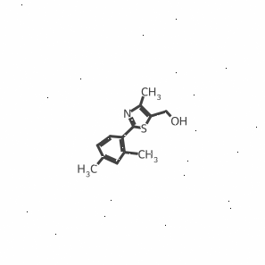 Cc1ccc(-c2nc(C)c(CO)s2)c(C)c1